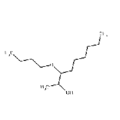 CCCCCCC(OCCCC)C(C)O